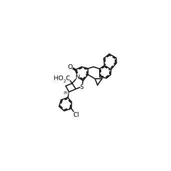 O=C(O)C12C[C@H](c3cccc(Cl)c3)C1Sc1c(C3CC3)c(Cc3cccc4ccccc34)cc(=O)n12